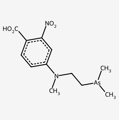 CN(CC[As](C)C)c1ccc(C(=O)O)c([N+](=O)[O-])c1